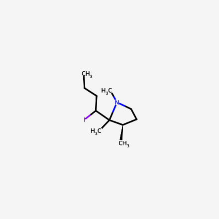 CCCC(I)C1(C)[C@H](C)CCN1C